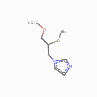 CCCCCCCCOCC(Cn1ccnc1)SCCCC